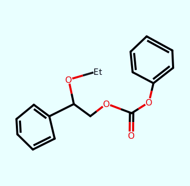 CCOC(COC(=O)Oc1ccccc1)c1ccccc1